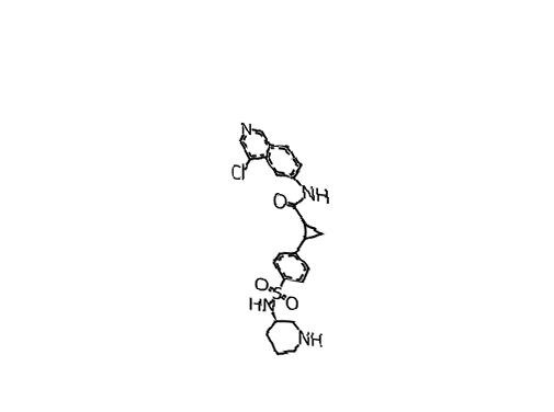 O=C(Nc1ccc2cncc(Cl)c2c1)C1CC1c1ccc(S(=O)(=O)N[C@@H]2CCCNC2)cc1